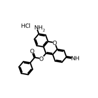 Cl.N=c1ccc2c(OC(=O)c3ccccc3)c3ccc(N)cc3oc-2c1